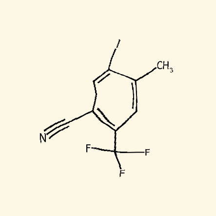 Cc1cc(C(F)(F)F)c(C#N)cc1I